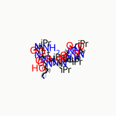 C/C=C\C[C@@H](C)[C@H](O)C(C(=O)N[C@@H](CC)C(=O)N(C)CC(=O)N(C)[C@H](C(N)=O)C(C)C)N(C)C(=O)[C@@H](C(C)C)N(C)C(=O)[C@@H](CC(C)C)N(C)C(=O)[C@@H](CC(C)C)N(C)C(=O)[C@H](C)NC(=O)C(CC(C)C)NC(=O)[C@H](C)N(C)C(=O)[C@H](C)C(C)(C)C